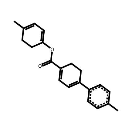 CC1=CC=C(OC(=O)C2=CC=C(c3ccc(C)cc3)CC2)CC1